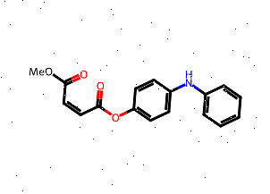 COC(=O)/C=C\C(=O)Oc1ccc(Nc2ccccc2)cc1